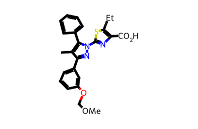 CCc1sc(-n2nc(-c3cccc(OCOC)c3)c(C)c2-c2ccccc2)nc1C(=O)O